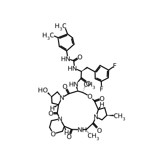 Cc1ccc(NC(=O)N[C@@H](Cc2cc(F)cc(F)c2)C(=O)N[C@@H]2C(=O)N3C[C@H](O)C[C@H]3C(=O)N3CCOC[C@H]3C(=O)N[C@@H](C)C(=O)N3C[C@H](C)C[C@H]3C(=O)O[C@H]2C)cc1C